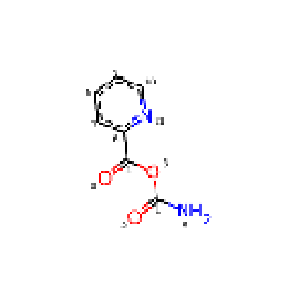 NC(=O)OC(=O)c1ccccn1